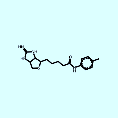 Cc1ccc(NC(=O)CCCCC2SCC3NC(=N)NC32)cc1